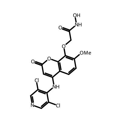 COc1ccc2c(Nc3c(Cl)cncc3Cl)cc(=O)oc2c1OCC(=O)NO